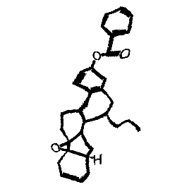 CCC[C@@H]1Cc2cc(OC(=O)c3ccccc3)ccc2C2CC[C@]34O[C@]35CC=CC[C@@H]5CC4C21